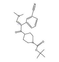 CN(C)/C=C(/C(=O)C1CCN(C(=O)OC(C)(C)C)CC1)c1cccc(C#N)c1